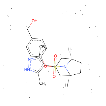 Cc1n[nH]c(C)c1S(=O)(=O)N1[C@@H]2CC[C@H]1CC(Oc1ccc(CO)cc1)C2